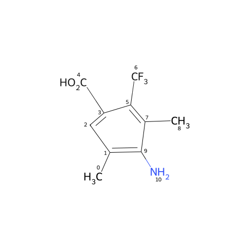 Cc1cc(C(=O)O)c(C(F)(F)F)c(C)c1N